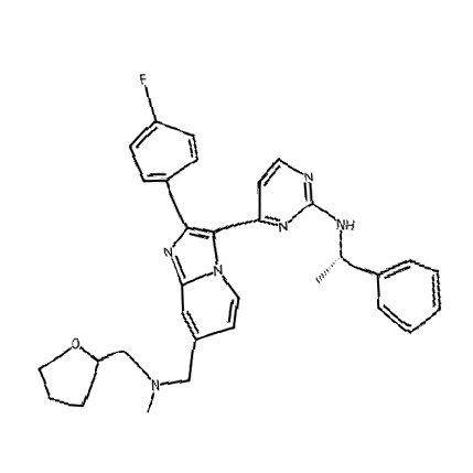 C[C@H](Nc1nccc(-c2c(-c3ccc(F)cc3)nc3cc(CN(C)CC4CCCO4)ccn23)n1)c1ccccc1